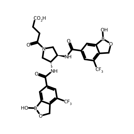 O=C(O)CCC(=O)N1C[C@@H](NC(=O)c2cc3c(c(C(F)(F)F)c2)COB3O)[C@H](NC(=O)c2cc3c(c(C(F)(F)F)c2)COB3O)C1